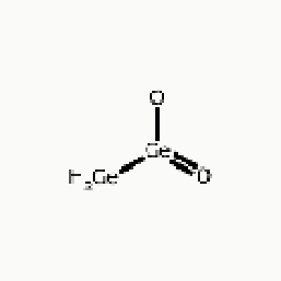 [O]=[Ge]([O-])[GeH3]